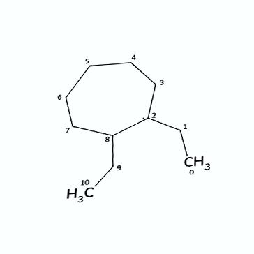 CC[C]1CCCCCC1CC